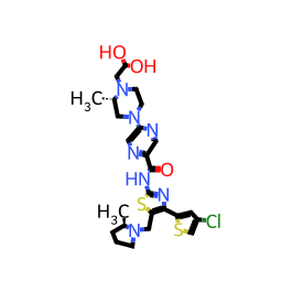 C[C@@H]1CCCN1Cc1sc(NC(=O)c2cnc(N3CCN(CC(O)O)[C@@H](C)C3)cn2)nc1-c1cc(Cl)cs1